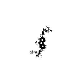 CCCN(CCC)CCOc1ccc2c(c1)C(=O)c1cc(OCCN(CCC)CCC)ccc1-2